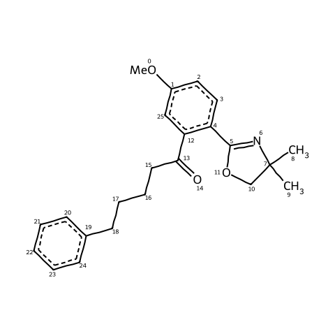 COc1ccc(C2=NC(C)(C)CO2)c(C(=O)CCCCc2ccccc2)c1